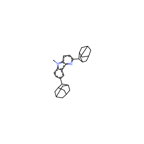 Cn1c2ccc(C3C4CC5CC(C4)CC3C5)cc2c2nc(C3C4CC5CC(C4)CC3C5)ccc21